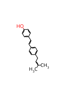 CC(C)=CCc1ccc(C=Cc2ccc(O)cc2)cc1